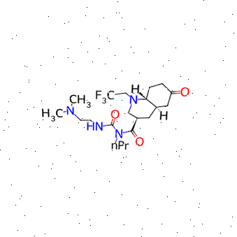 CCCN(C(=O)NCCN(C)C)C(=O)[C@@H]1C[C@@H]2CC(=O)CC[C@H]2N(CC(F)(F)F)C1